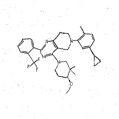 CO[C@H]1CCN(c2nc(-c3ccccc3C(F)(F)F)nc3c2CN(c2cc(C4CC4)ccc2C)CC3)CC1(C)C